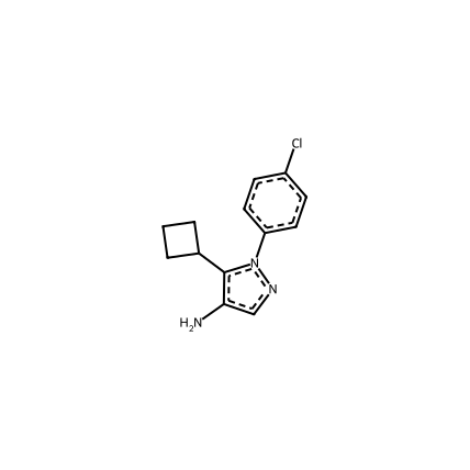 Nc1cnn(-c2ccc(Cl)cc2)c1C1CCC1